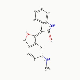 CNc1ccc2c(c1)C(=C1C(=O)Nc3ccccc31)OC2